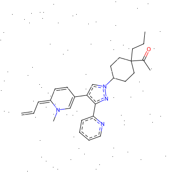 C=C/C=C1/C=CC(c2cn(C3CCC(CCC)(C(C)=O)CC3)nc2-c2ccccn2)=CN1C